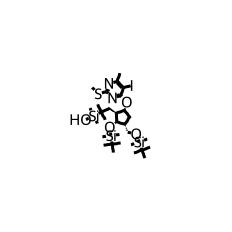 CSc1nc(C)c(I)c(O[C@@H]2C[C@H](CO[Si](C)(C)C(C)(C)C)[C@@H](O[Si](C)(C)C(C)(C)C)[C@H]2CC(C)(C)[Si](C)(C)O)n1